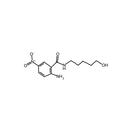 Nc1ccc([N+](=O)[O-])cc1C(=O)NCCCCCO